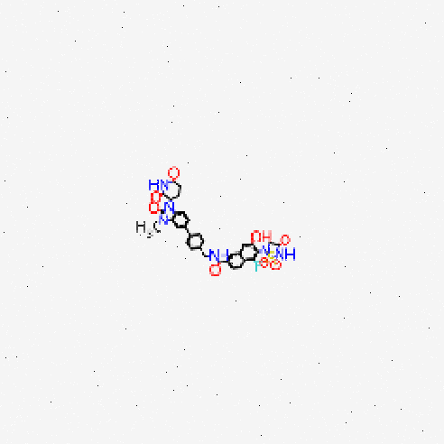 Cn1c(=O)n(C2CCC(=O)NC2=O)c2ccc(-c3ccc(CNC(=O)c4ccc5c(F)c(N6CC(=O)NS6(=O)=O)c(O)cc5c4)cc3)cc21